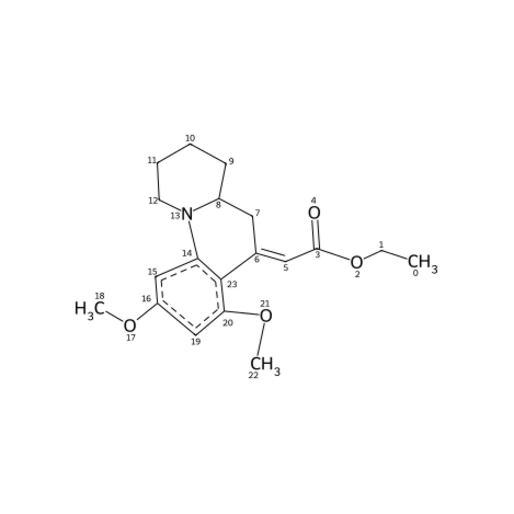 CCOC(=O)/C=C1\CC2CCCCN2c2cc(OC)cc(OC)c21